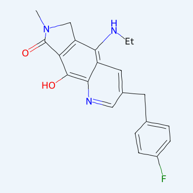 CCNc1c2c(c(O)c3ncc(Cc4ccc(F)cc4)cc13)C(=O)N(C)C2